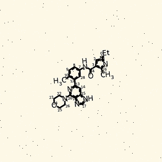 CCn1cc(C(=O)Nc2ccc(C)c(-c3cc4[nH]cnc4c(N4CCOCC4)n3)c2)c(C)n1